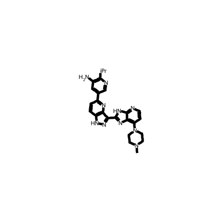 CC(C)c1ncc(-c2ccc3[nH]nc(-c4nc5c(N6CCN(C)CC6)ccnc5[nH]4)c3n2)cc1N